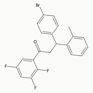 Cc1ccccc1C(CC(=O)c1cc(F)cc(F)c1F)c1ccc(Br)cc1